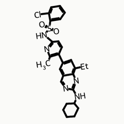 CCc1cc(-c2ccc(NS(=O)(=O)c3ccccc3Cl)nc2C)cc2cnc(NC3CCCCC3)nc12